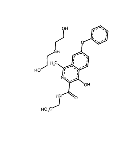 Cc1nc(C(=O)NCC(=O)O)c(O)c2ccc(Oc3ccccc3)cc12.OCCNCCO